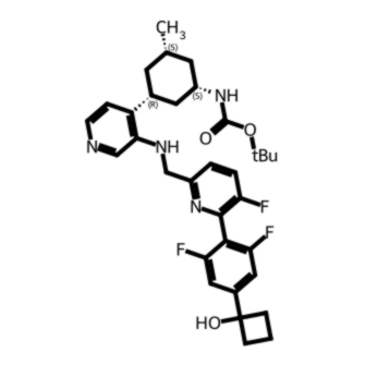 C[C@@H]1C[C@H](NC(=O)OC(C)(C)C)C[C@H](c2ccncc2NCc2ccc(F)c(-c3c(F)cc(C4(O)CCC4)cc3F)n2)C1